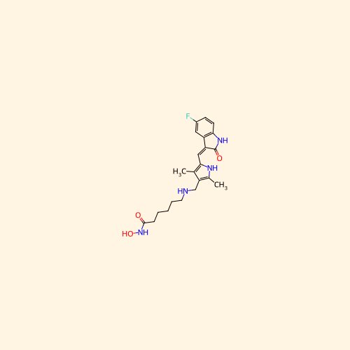 Cc1[nH]c(/C=C2\C(=O)Nc3ccc(F)cc32)c(C)c1CNCCCCCC(=O)NO